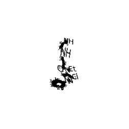 CCN(C(=O)CCN/C=C\C=N)c1cn(-c2cccnc2)nc1Cl